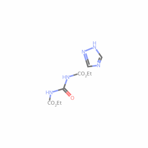 CCOC(=O)NC(=O)NC(=O)OCC.c1nc[nH]n1